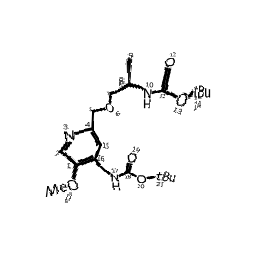 COc1cnc(COC[C@@H](C)NC(=O)OC(C)(C)C)cc1NC(=O)OC(C)(C)C